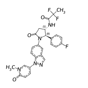 Cn1cc(-n2ncc3cc(N4C(=O)C[C@H](NC(=O)C(C)(F)F)[C@H]4c4ccc(F)cc4)ccc32)ccc1=O